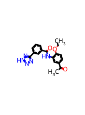 CCOc1ccc(C(C)=O)cc1NC(=O)c1cccc(-c2nn[nH]n2)c1